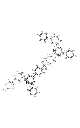 C=C/C=C\C(=C/C)c1cccc(-c2nc(-c3ccccc3)nc(-c3ccc(C(C)(C)c4ccc(-c5nc(-c6ccccc6)nc(-c6cccc(-c7ccccc7)c6)n5)cc4)cc3)n2)c1